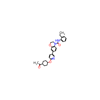 CCc1ccccc1NC(=O)N1CCOc2cc(-c3ccc(OC4CCC(C(C)=O)CC4)nc3)ccc21